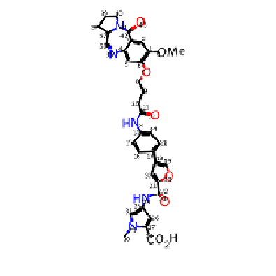 COc1cc2c(cc1OCCCC(=O)Nc1ccc(-c3coc(C(=O)Nc4cc(C(=O)O)n(C)c4)c3)cc1)N=CC1CCCN1C2=O